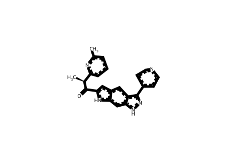 Cc1cccc([C@H](C)C(=O)c2cc3cc4c(-c5ccncc5)n[nH]c4cc3[nH]2)n1